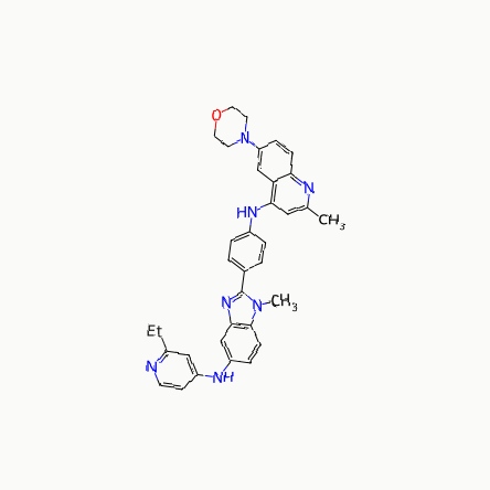 CCc1cc(Nc2ccc3c(c2)nc(-c2ccc(Nc4cc(C)nc5ccc(N6CCOCC6)cc45)cc2)n3C)ccn1